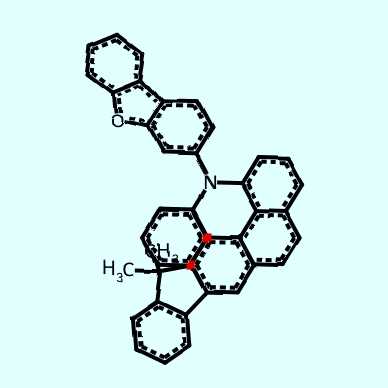 CC1(C)c2ccccc2-c2cc3ccc4cccc(N(c5ccccc5)c5ccc6c(c5)oc5ccccc56)c4c3cc21